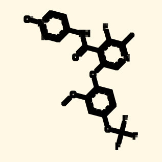 COc1cc(OC(F)(F)F)ccc1Oc1cnc(C)c(F)c1C(=O)Nc1cc[n+]([O-])nc1